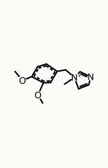 COc1ccc(C[N+]2(C)C=CN=C2)cc1OC